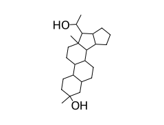 CC(O)C1C2CCCC2C2C3CCC4CC(C)(O)CCC4C3CCC12C